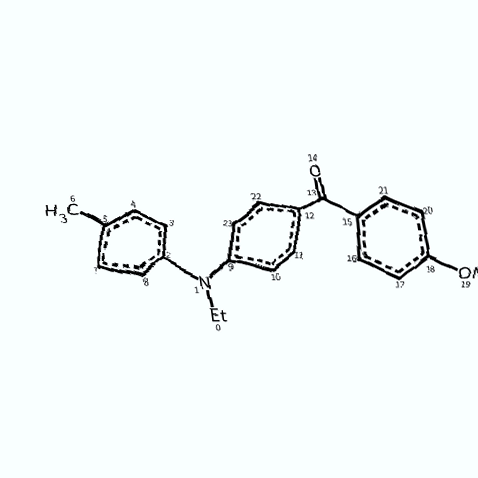 CCN(c1ccc(C)cc1)c1ccc(C(=O)c2ccc(OC)cc2)cc1